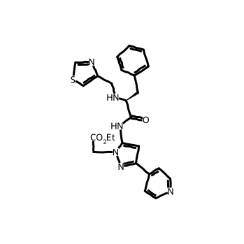 CCOC(=O)Cn1nc(-c2ccncc2)cc1NC(=O)[C@H](Cc1ccccc1)NCc1cscn1